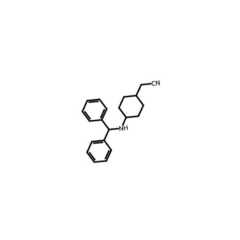 N#CCC1CCC(NC(c2ccccc2)c2ccccc2)CC1